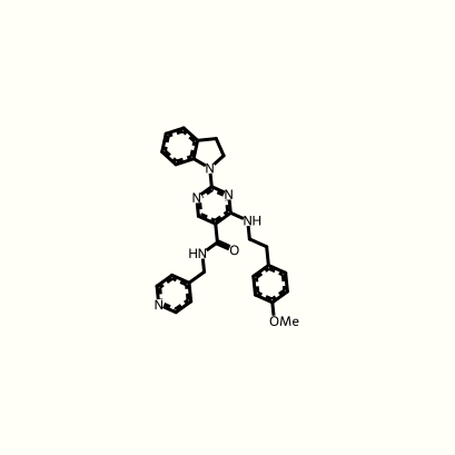 COc1ccc(CCNc2nc(N3CCc4ccccc43)ncc2C(=O)NCc2ccncc2)cc1